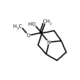 C=C(OC)N1C2CCC1CC(O)C2